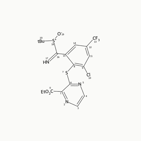 CCOC(=O)c1nccnc1Sc1c(Cl)cc(C(F)(F)F)cc1C(=N)[S+]([O-])C(C)(C)C